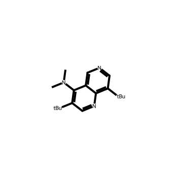 CN(C)c1c(C(C)(C)C)cnc2c(C(C)(C)C)cncc12